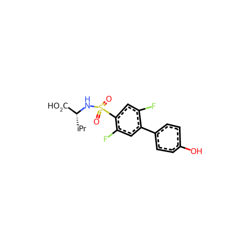 CC(C)[C@@H](NS(=O)(=O)c1cc(F)c(-c2ccc(O)cc2)cc1F)C(=O)O